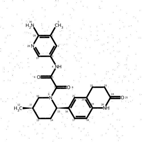 Cc1cc(NC(=O)C(=O)N2C[C@H](C)CC[C@@H]2c2ccc3c(c2)CCC(=O)N3)cnc1N